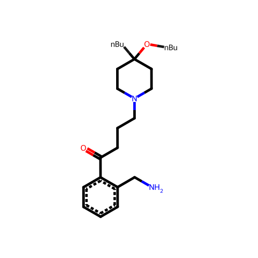 CCCCOC1(CCCC)CCN(CCCC(=O)c2ccccc2CN)CC1